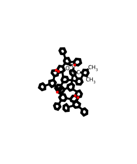 Cc1cc(C)c(-c2cccc3c2-c2cc4c(cc2C3(c2cc(-c3cccc(-c5cc(-c6ccccc6)cc(-c6ccccc6)c5)c3)cc(-c3cccc(-c5cc(-c6ccccc6)cc(-c6ccccc6)c5)c3)c2)c2cc(-c3cccc(-c5cc(-c6ccccc6)cc(-c6ccccc6)c5)c3)cc(-c3cccc(-c5cc(-c6ccccc6)cc(-c6ccccc6)c5)c3)c2)OCO4)c(C)c1